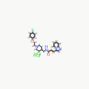 Cl.Cl.O=C(NCC1CCN(CCOc2ccc(F)cc2)CC1)C1=Cc2cnc3cccc(n23)S1